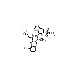 COCCNc1nc2c(Cl)cccc2cc1C(C)Nc1nc(S(C)(=O)=O)nc2ccnn12